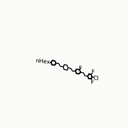 CCCCCCc1ccc(CCC2CCC(CCc3ccc(CCc4cc(F)c(Cl)c(F)c4)c(F)c3)CC2)cc1